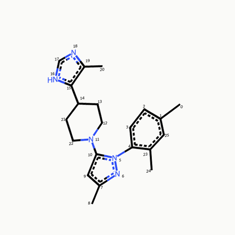 Cc1ccc(-n2nc(C)cc2N2CCC(c3[nH]cnc3C)CC2)c(C)c1